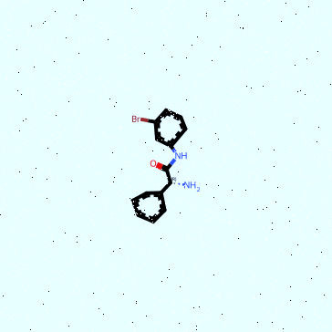 N[C@@H](C(=O)Nc1cccc(Br)c1)c1ccccc1